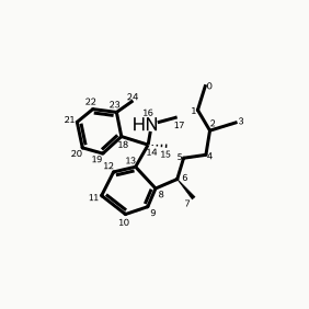 CCC(C)CC[C@@H](C)c1ccccc1[C@](C)(NC)c1ccccc1C